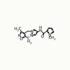 Cc1noc(C)c1Cn1cc(NC(=O)c2cccn2C)cn1